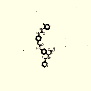 COC(=O)C[C@@H](NC(=O)c1cccnn1)c1ccc(NC(=O)Cc2ccc(NC(=O)Nc3ccccc3C)cc2)cc1